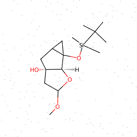 COC1C[C@@]2(O)CC3CC3(O[Si](C)(C)C(C)(C)C)[C@H]2O1